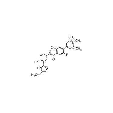 CCc1cnc(-c2cc(NC(=O)c3cc(F)c(N4C[C@@H](C)N(C)[C@@H](C)C4)cc3Cl)ccc2Cl)[nH]1